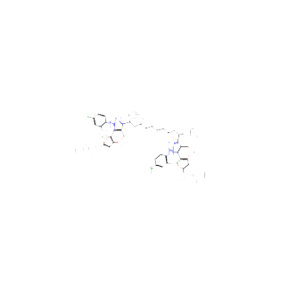 O=S(=O)(O)c1cc2c(s1)-c1c(c(C(CCCCCCCCC(c3nn(-c4ccc(Cl)cc4Cl)c4c3COc3cc(S(=O)(=O)O)sc3-4)C(F)(F)F)C(F)(F)F)nn1-c1ccc(Cl)cc1Cl)CO2